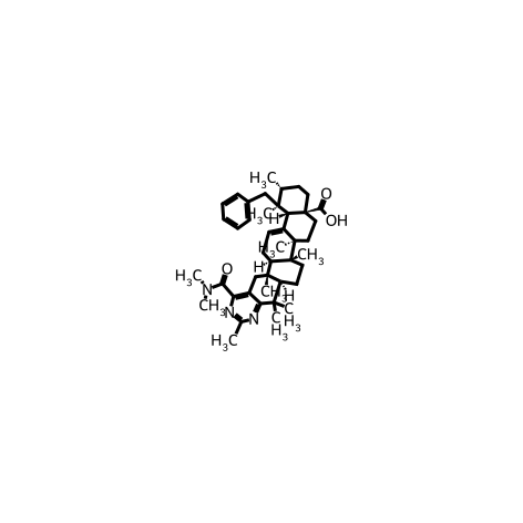 Cc1nc(C(=O)N(C)C)c2c(n1)C(C)(C)[C@@H]1CC[C@]3(C)[C@H](CC=C4[C@H]5[C@](C(=O)O)(CC[C@@H](C)[C@]5(C)Cc5ccccc5)CC[C@]43C)[C@@]1(C)C2